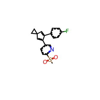 CS(=O)(=O)c1ccc(C2=CC3(C=C2c2ccc(F)cc2)CC3)cn1